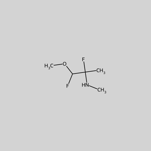 CNC(C)(F)C(F)OC